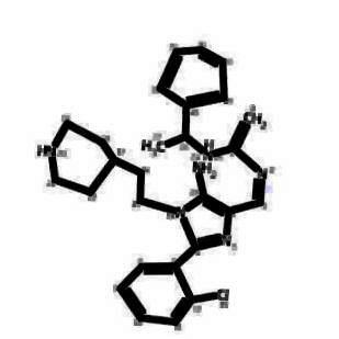 C=C(/N=C\c1nc(-c2ccccc2Cl)n(CCC2CCNCC2)c1N)NC(C)c1ccccc1